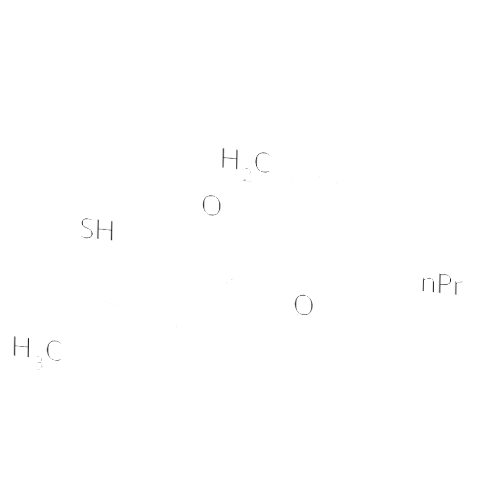 C=CC(CCC)OC(=O)CC(C)S